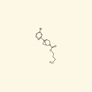 CCCCOC(=O)N1CC2CC1CN2c1cc(Br)ccn1